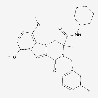 COc1ccc(OC)c2c1cc1n2CC(C)(C(=O)NC2CCCCC2)N(Cc2cccc(F)c2)C1=O